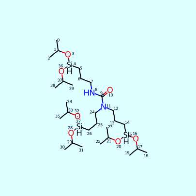 CC(C)O[SiH](CCCNC(=O)N(CCC[SiH](OC(C)C)OC(C)C)CCC[SiH](OC(C)C)OC(C)C)OC(C)C